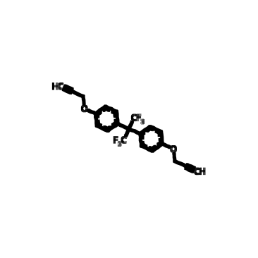 C#CCOc1ccc(C(c2ccc(OCC#C)cc2)(C(F)(F)F)C(F)(F)F)cc1